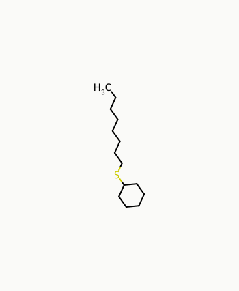 CCCCCCCCSC1CCCCC1